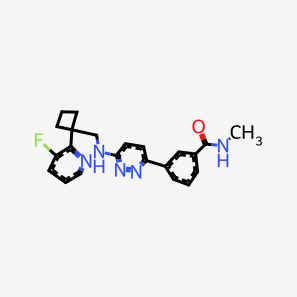 CNC(=O)c1cccc(-c2ccc(NCC3(c4ncccc4F)CCC3)nn2)c1